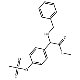 COC(=O)C(NCc1ccccc1)c1ccc(OS(C)(=O)=O)cc1